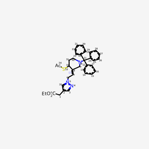 CCOC(=O)Cc1cnn(C/C=C2/CN(C(c3ccccc3)(c3ccccc3)c3ccccc3)CCC2SC(C)=O)c1